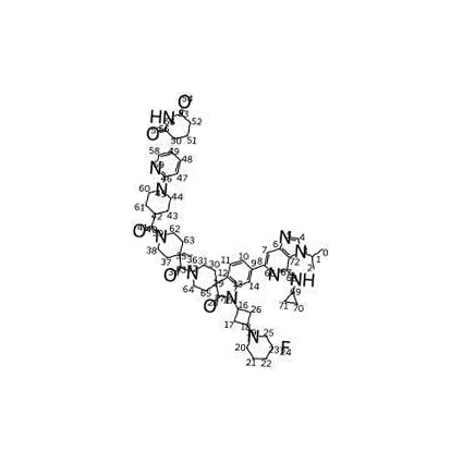 CC(C)n1cnc2cc(-c3ccc4c(c3)N(C3CC(N5CCC[C@@H](F)C5)C3)C(=O)C43CCN(C(=O)C4(C)CCN(C(=O)C5CCN(c6ccc([C@H]7CCC(=O)NC7=O)cn6)CC5)CC4)CC3)nc(NC3CC3)c21